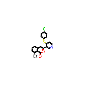 CCc1cccc2cc(-c3cnccc3Sc3ccc(Cl)cc3)oc(=O)c12